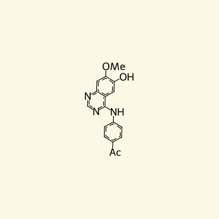 COc1cc2ncnc(Nc3ccc(C(C)=O)cc3)c2cc1O